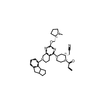 C=CC(=O)N1CCN(c2nc(OC[C@@H]3CCCN3C)nc3c2CCN(c2cccc4c2C2CCCC2C4)C3)C[C@@H]1CC#N